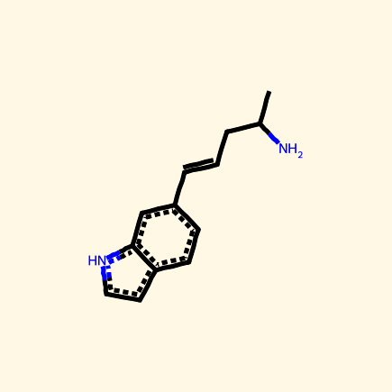 CC(N)C/C=C/c1ccc2cc[nH]c2c1